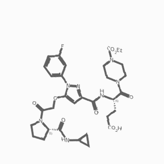 CCOC(=O)N1CCN(C(=O)[C@H](CCC(=O)O)NC(=O)c2cc(OCC(=O)N3CCC[C@H]3C(=O)NC3CC3)n(-c3cccc(F)c3)n2)CC1